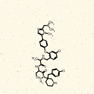 CC(NCc1ccc(Cl)cc1Oc1ccc(-c2cnc(CN(C)C)n2C)cc1)C(=O)NC(CO)C(=O)N(C)C1(Cc2ccc(Cl)cc2)CCCNC1